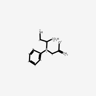 C=C(Cl)CN(c1ccccc1)C(CS)C(=O)O